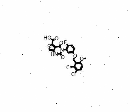 COc1ccc(Cl)c(Cl)c1COc1ccc(F)c(-n2c(=O)[nH]c3csc(C(=O)O)c3c2=O)c1